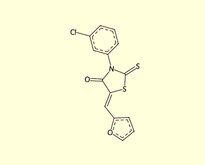 O=C1C(=Cc2ccco2)SC(=S)N1c1cccc(Cl)c1